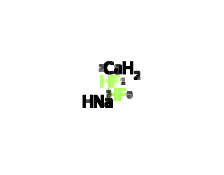 F.F.[CaH2].[NaH]